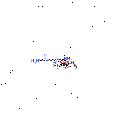 CC(C)(C)OC(=O)C(N)(CCCNCCCCCCNCCCCN)C(=O)OC(C)(C)C